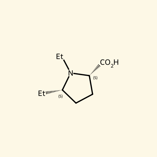 CC[C@H]1CC[C@@H](C(=O)O)N1CC